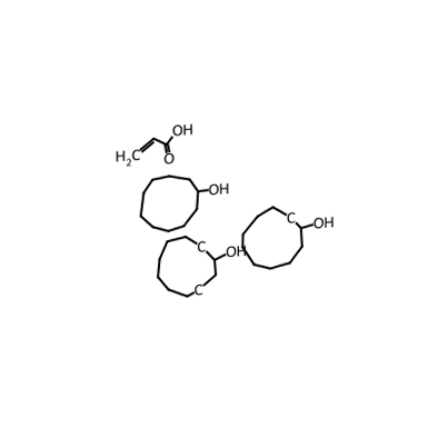 C=CC(=O)O.OC1CCCCCCCCC1.OC1CCCCCCCCC1.OC1CCCCCCCCC1